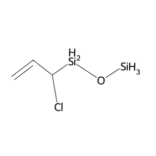 C=CC(Cl)[SiH2]O[SiH3]